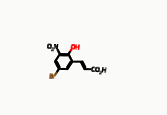 O=C(O)C=Cc1cc(Br)cc([N+](=O)[O-])c1O